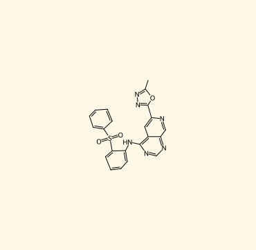 Cc1nnc(-c2cc3c(Nc4ccccc4S(=O)(=O)c4ccccc4)ncnc3cn2)o1